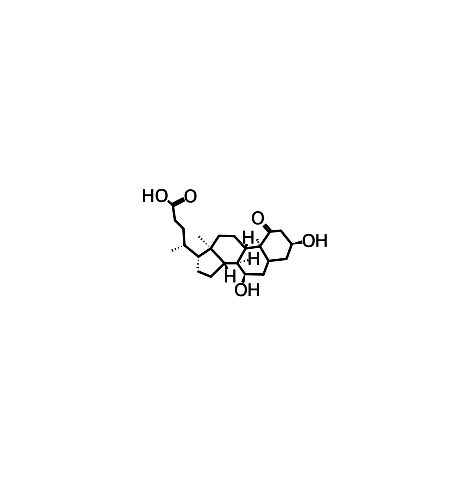 C[C@H](CCC(=O)O)[C@H]1CC[C@H]2[C@@H]3[C@H](O)CC4C[C@H](O)CC(=O)[C@]4(C)[C@H]3CC[C@]12C